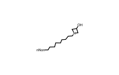 CCCCCCCCCCCCCCCCCCN1CC(O)C1